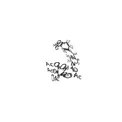 CC(=O)O[C@@H]1O[C@H](C(=O)N2CCN(Cc3ccc4c(c3)OCO4)CC2)[C@@H](OC(C)=O)[C@H](OC(C)=O)[C@H]1OC(C)=O